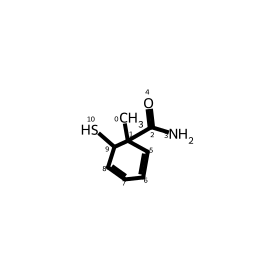 CC1(C(N)=O)C=CC=CC1S